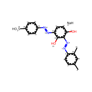 Cc1ccc(N=Nc2c(O)ccc(N=Nc3ccc(S(=O)(=O)O)cc3)c2O)c(C)c1.[NaH]